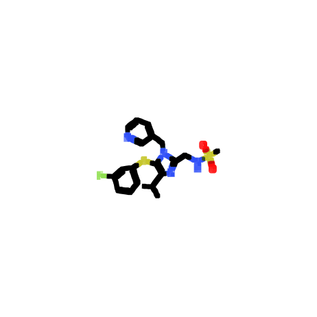 CC(C)c1nc(CNS(C)(=O)=O)n(Cc2cccnc2)c1Sc1cccc(F)c1